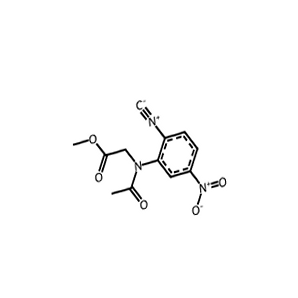 [C-]#[N+]c1ccc([N+](=O)[O-])cc1N(CC(=O)OC)C(C)=O